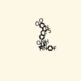 COc1cc2nc(SC)cc(Cc3ccc(NC(=O)C4(C(=O)Nc5ccc(F)cc5)CC4)cc3F)c2cc1OC